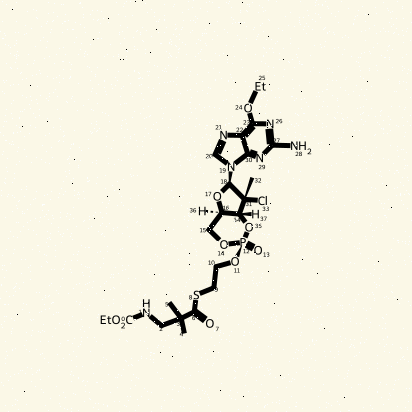 CCOC(=O)NCC(C)(C)C(=O)SCCO[P@@]1(=O)OC[C@H]2O[C@@H](n3cnc4c(OCC)nc(N)nc43)[C@](C)(Cl)[C@@H]2O1